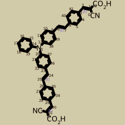 N#C/C(=C\c1ccc(/C=C/c2ccc(N(c3ccccc3)c3ccc(/C=C/c4ccc(/C=C(\C#N)C(=O)O)cc4)cc3)cc2)cc1)C(=O)O